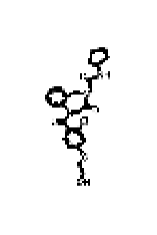 O=C(CN1Cc2ccccc2N(C(=O)c2ccc(OCCO)cc2Cl)CC1=O)NC1CCCC1